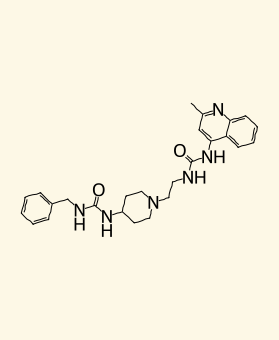 Cc1cc(NC(=O)NCCN2CCC(NC(=O)NCc3ccccc3)CC2)c2ccccc2n1